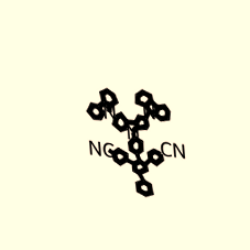 N#Cc1ccc(-c2cc(-c3ccccc3)cc(-c3ccc(C#N)cc3)c2-c2ccc(-n3c4ccc(-n5c6ccccc6c6ccccc65)cc4c4cc(-n5c6ccccc6c6ccccc65)ccc43)cc2)cc1